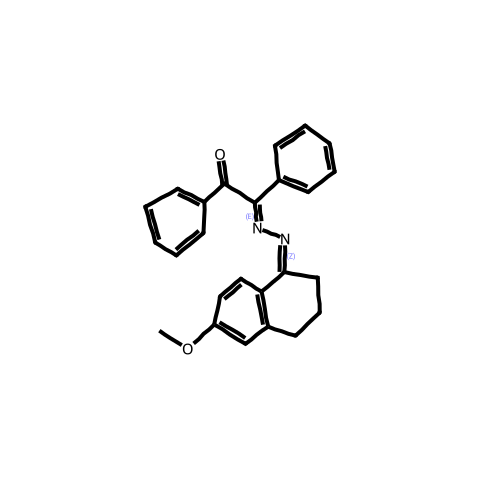 COc1ccc2c(c1)CCC/C2=N/N=C(/C(=O)c1ccccc1)c1ccccc1